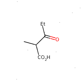 CCC(=O)C(C)C(=O)O